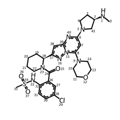 CN[C@@H]1CCN(c2cc(N3CCOCC3)n3nc([C@@H]4CCCCN4C(=O)c4cc(Cl)ccc4NS(C)(=O)=O)cc3n2)C1